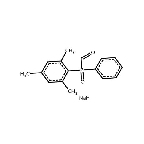 Cc1cc(C)c(P(=O)(C=O)c2ccccc2)c(C)c1.[NaH]